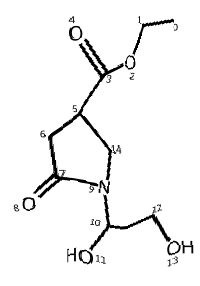 CCOC(=O)C1CC(=O)N(C(O)CO)C1